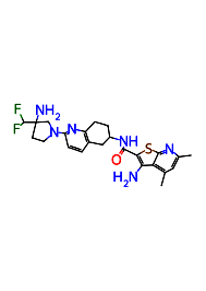 Cc1cc(C)c2c(N)c(C(=O)NC3CCc4nc(N5CCC(N)(C(F)F)C5)ccc4C3)sc2n1